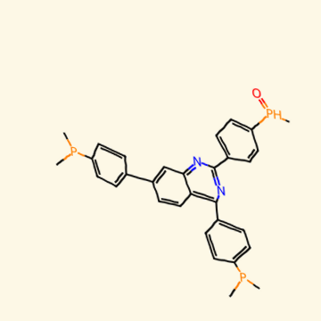 CP(C)c1ccc(-c2ccc3c(-c4ccc(P(C)C)cc4)nc(-c4ccc([PH](C)=O)cc4)nc3c2)cc1